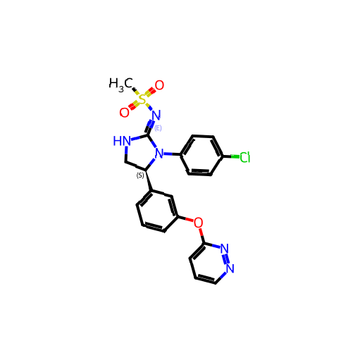 CS(=O)(=O)/N=C1\NC[C@H](c2cccc(Oc3cccnn3)c2)N1c1ccc(Cl)cc1